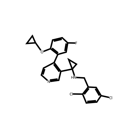 Fc1ccc(OC2CC2)c(-c2ccncc2C2(NCc3cc(Cl)ccc3Cl)CC2)c1